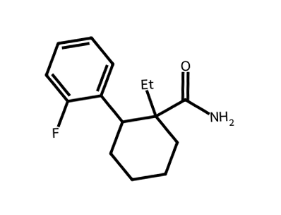 CCC1(C(N)=O)CCCCC1c1ccccc1F